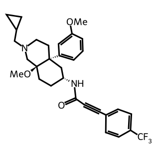 COc1cccc([C@@]23CCN(CC4CC4)C[C@@]2(OC)CC[C@@H](NC(=O)C#Cc2ccc(C(F)(F)F)cc2)C3)c1